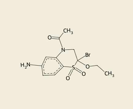 CCOC1(Br)CN(C(C)=O)c2cc(N)ccc2S1(=O)=O